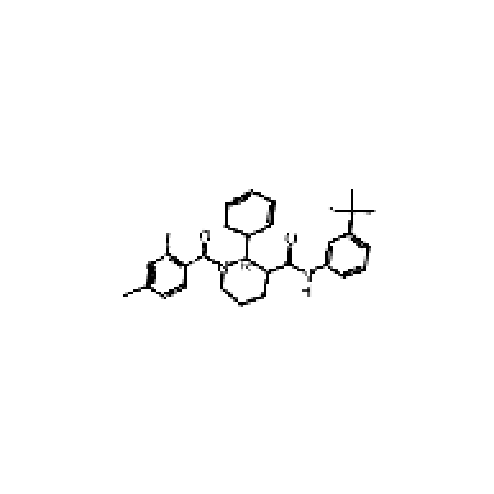 Cc1ccc(C(=O)N2CCCC(C(=O)Nc3cccc(C(C)(C)C)c3)[C@@H]2C2C=CC=CC2)c(C)c1